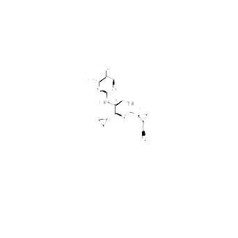 COc1nc(NC(=C/N)/C(=N\C[C@H]2CC2C#N)C2CC2)ncc1Br